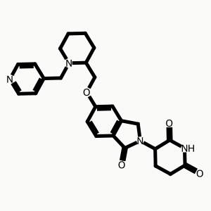 O=C1CCC(N2Cc3cc(OCC4CCCCN4Cc4ccncc4)ccc3C2=O)C(=O)N1